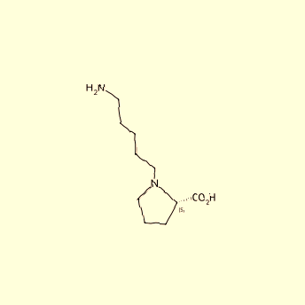 NCCCCCN1CCC[C@H]1C(=O)O